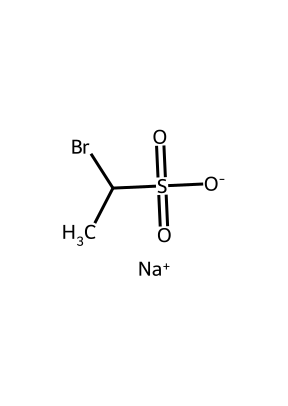 CC(Br)S(=O)(=O)[O-].[Na+]